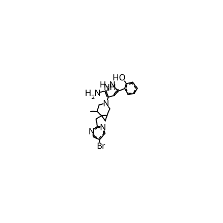 CC1CN(C(/C=C(\N)c2ccccc2O)=C(N)N)CC2CC12Cc1ncc(Br)cn1